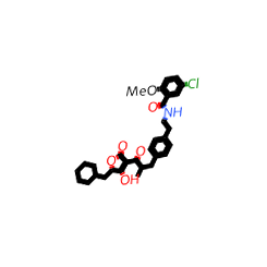 COc1ccc(Cl)cc1C(=O)NCCc1ccc(CC(C)C(=O)C2=C(O)C(CC3CCCCC3)OC2=O)cc1